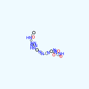 O=C1CC[C@H](n2nnc3ccc(N4CCC(CN5CCN(c6ccc(Nc7ncnc8c7ncn8C7CC(NC(=O)Cc8ccccc8)C7)cc6)CC5)CC4)cc3c2=O)C(=O)N1